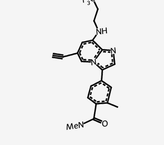 C#Cc1cc(NCCC(F)(F)F)c2ncc(-c3ccc(C(=O)NC)c(C)c3)n2c1